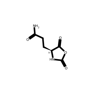 NC(=O)CC[C@@H]1NC(=O)OC1=O